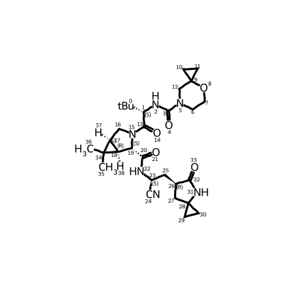 CC(C)(C)[C@H](NC(=O)N1CCOC2(CC2)C1)C(=O)N1C[C@H]2[C@@H]([C@H]1C(=O)N[C@H](C#N)C[C@@H]1CC3(CC3)NC1=O)C2(C)C